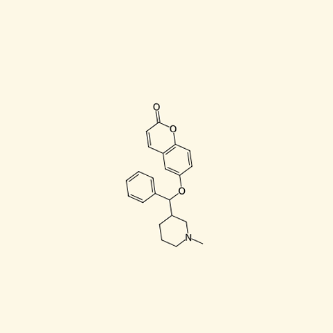 CN1CCCC(C(Oc2ccc3oc(=O)ccc3c2)c2ccccc2)C1